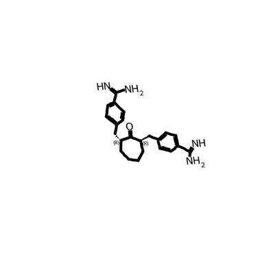 N=C(N)c1ccc(C[C@H]2CCCC[C@H](Cc3ccc(C(=N)N)cc3)C2=O)cc1